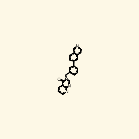 O=c1c2cccnc2ncn1Cc1cccc(-c2ccc3cnccc3c2)c1